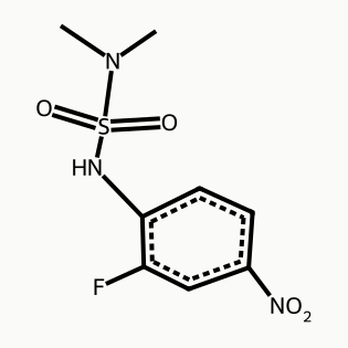 CN(C)S(=O)(=O)Nc1ccc([N+](=O)[O-])cc1F